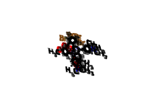 COc1ccc(/C(=C\C2(/C=C(\c3ccc(OC)cc3)c3ccc(N(C)C)c(C)c3)OC(=O)c3c(Br)c(Br)c(Br)c(Br)c32)c2ccc(N(C)C)c(C)c2)cc1